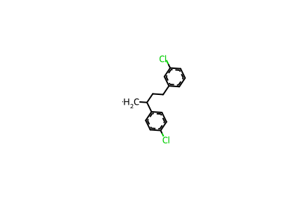 [CH2]C(CCc1cccc(Cl)c1)c1ccc(Cl)cc1